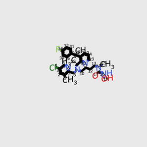 Cc1cc(Cl)cnc1CN(CCCCN(C)C(=O)NO)Cc1ncccc1C(C)(C)c1ccc(F)cc1